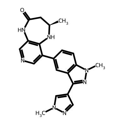 C[C@@H]1CC(=O)Nc2cncc(-c3ccc4c(c3)c(-c3cnn(C)c3)nn4C)c2N1